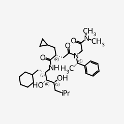 CC(C)C[C@H](O)[C@H](O)[C@H](CC1CCCCC1)NC(=O)[C@@H](CC(=O)N(CC(=O)N(C)C)[C@@H](C)c1ccccc1)CC1CC1